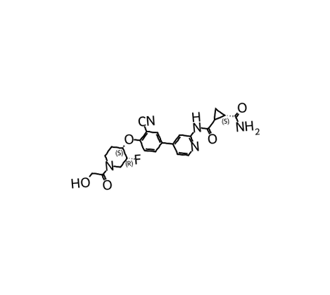 N#Cc1cc(-c2ccnc(NC(=O)C3C[C@@H]3C(N)=O)c2)ccc1O[C@H]1CCN(C(=O)CO)C[C@H]1F